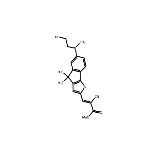 COC(=O)/C(C#N)=C/c1cc2c(s1)-c1ccc(N(C)CCO)cc1C2(C)C